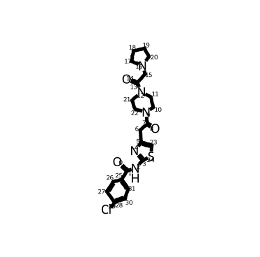 O=C(Nc1nc(CC(=O)N2CCN(C(=O)CN3CCCC3)CC2)cs1)c1ccc(Cl)cc1